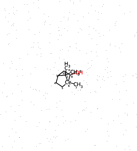 C[C]1(C)C2C[CH2][Ce]1([CH3])[CH](O)C2